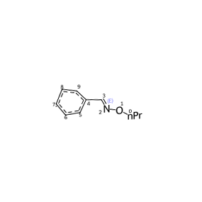 CCCO/N=C/c1cc[c]cc1